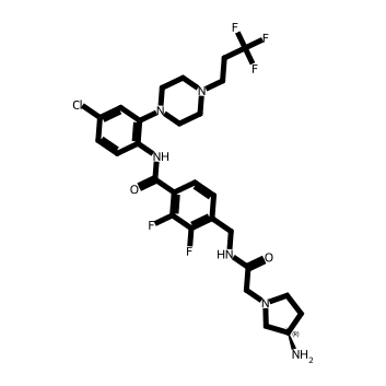 N[C@@H]1CCN(CC(=O)NCc2ccc(C(=O)Nc3ccc(Cl)cc3N3CCN(CCC(F)(F)F)CC3)c(F)c2F)C1